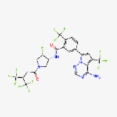 Nc1ncnn2c(-c3ccc(C(F)(F)F)c(C(=O)N[C@@H]4CN(C(=O)CC(C(F)(F)F)C(F)(F)F)C[C@@H]4F)c3)cc(C(F)(F)F)c12